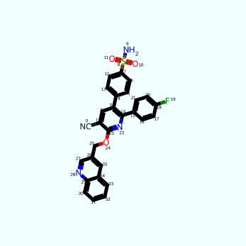 N#Cc1cc(-c2ccc(S(N)(=O)=O)cc2)c(-c2ccc(F)cc2)nc1OCc1cnc2ccccc2c1